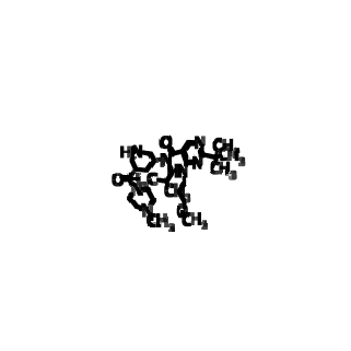 COCCCNc1nc(C(C)(C)C)ncc1C(=O)N(CC(C)C)[C@@H]1CNC[C@H](C(=O)N2CCN(C)CC2)C1